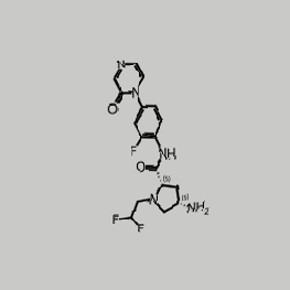 N[C@H]1C[C@@H](C(=O)Nc2ccc(-n3ccncc3=O)cc2F)N(CC(F)F)C1